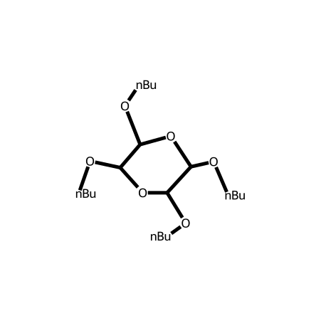 CCCCOC1OC(OCCCC)C(OCCCC)OC1OCCCC